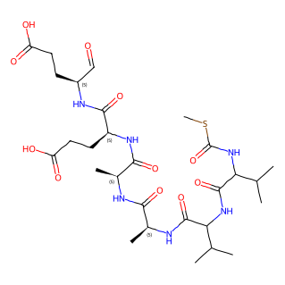 CSC(=O)NC(C(=O)NC(C(=O)N[C@@H](C)C(=O)N[C@@H](C)C(=O)N[C@@H](CCC(=O)O)C(=O)N[C@H](C=O)CCC(=O)O)C(C)C)C(C)C